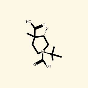 C[C@@H]1C[N@@+](C(=O)O)(C(C)(C)C)CCC1(C)C(=O)O